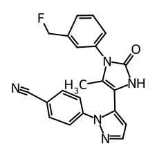 Cc1c(-c2ccnn2-c2ccc(C#N)cc2)[nH]c(=O)n1-c1cccc(CF)c1